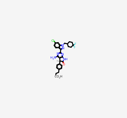 C[C@@]1(c2ccc(CCC(=O)O)cc2)C(=O)Nc2nc(-c3nn(CC4CCC(F)(F)CC4)c4cc(Cl)ccc34)nc(N)c21